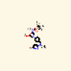 COC(=O)CN(CCN(C)C(=O)OC(C)(C)C)C1CCC(CN(C)c2ccc(Br)nn2)CC1